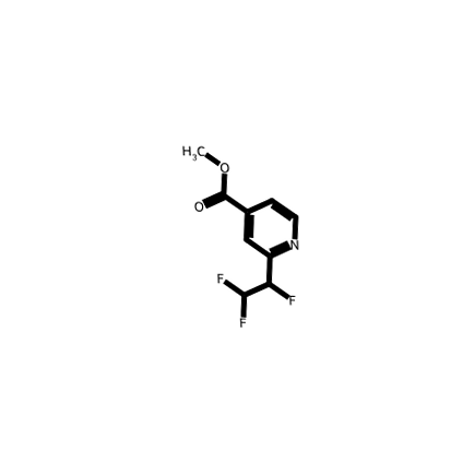 COC(=O)c1ccnc(C(F)C(F)F)c1